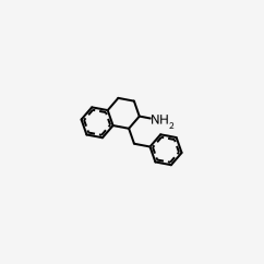 NC1CCc2ccccc2C1Cc1ccccc1